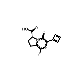 O=C(O)[C@@H]1CCc2c(Cl)nc(C3=CC=C3)c(=O)n21